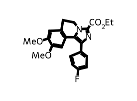 CCOC(=O)c1nc(-c2ccc(F)cc2)c2n1CCc1cc(OC)c(OC)cc1-2